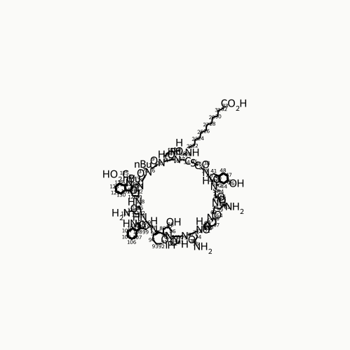 CCCC[C@H]1C(=O)N(C)[C@@H](CCCC)C(=O)N[C@@H](CC(C)C)C(=O)N[C@H](C(O)NCCCCCCCCCCCCC(=O)O)CSCC(=O)N[C@@H](Cc2ccc(O)cc2)C(=O)N(C)[C@@H](C)C(=O)N[C@@H](CC(N)=O)C(=O)N2CCC[C@@H]2C(=O)N[C@@H](CCN)C(=O)N[C@@H](CC(C)C)C(=O)N2C[C@@H](O)CC23OCCCC=C3N[C@@H](Cc2c[nH]c3ccccc23)C(=O)N[C@@H](CCN)C(=O)NC(Cc2cn(CC(=O)O)c3ccccc23)C(=O)N1C